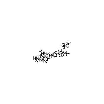 CC(C)Nc1nc(NC(C)C)c2nc(CN(c3ccc(C(=O)N[C@@H](CCC(=O)OC(C)C)C(=O)OC(C)C)cc3)C(C)C)cnc2n1